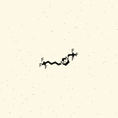 FC(F)(F)CCCC[n+]1ccn(CC(F)(F)F)c1